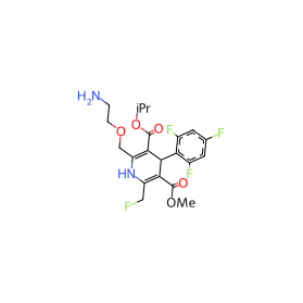 COC(=O)C1=C(CF)NC(COCCN)=C(C(=O)OC(C)C)C1c1c(F)cc(F)cc1F